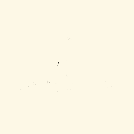 CCn1ccc(N2C[C@@H](c3c(F)cc(OC)cc3F)[C@H](NC(=O)c3ccc(OC(F)(F)F)cc3)C2=O)n1